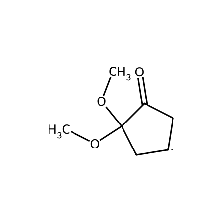 COC1(OC)C[CH]CC1=O